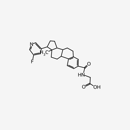 CC12CCC3c4ccc(C(=O)NCC(=O)O)cc4CCC3C1CCC2c1cncc(F)c1